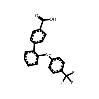 O=C(O)c1ccc(-c2ccccc2Nc2ccc(C(F)(F)F)cc2)cc1